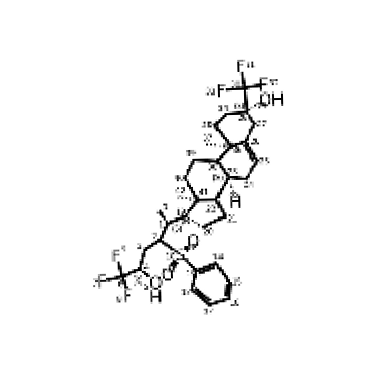 C[C@H](C(C[C@@H](O)C(F)(F)F)S(=O)(=O)c1ccccc1)[C@H]1CCC2[C@@H]3CC=C4C[C@](O)(C(F)(F)F)CC[C@]4(C)C3CC[C@@]21C